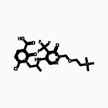 CC(Cn1c(Cl)ccc(C(=O)O)c1=O)Nc1cnn(COCC[Si](C)(C)C)c(=O)c1C(F)(F)F